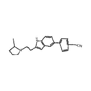 CC1CCCN1CCc1cc2cc(-c3ccc(C#N)cc3)ccc2[nH]1